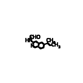 C/C=C(\C)c1ccc2cnc(NC=O)cc2c1